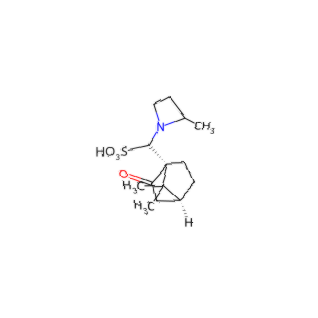 CC1CCN1C([C@@]12CC[C@@H](CC1=O)C2(C)C)S(=O)(=O)O